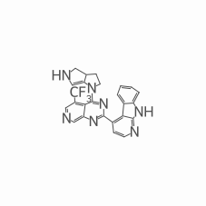 FC(F)(F)c1cncc2nc(-c3ccnc4[nH]c5ccccc5c34)nc(N3CCC4CNC=C43)c12